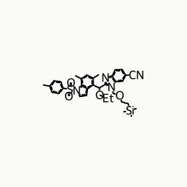 CCOC(c1c(C)cc(C)c2c1ccn2S(=O)(=O)c1ccc(C)cc1)c1nc2ccc(C#N)cc2n1COCC[Si](C)(C)C